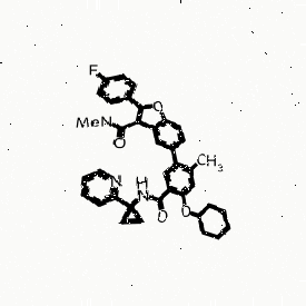 CNC(=O)C1c2cc(-c3cc(C(=O)NC4(c5ccccn5)CC4)c(OC4CCCCC4)cc3C)ccc2OC1c1ccc(F)cc1